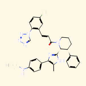 Cc1[nH]c([C@@H]2[C@H](c3ccccc3)CCCN2C(=O)C=Cc2cc(Cl)ccc2-n2cnnn2)nc1-c1ccc(NC(=O)O)cc1